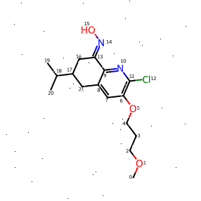 COCCCOc1cc2c(nc1Cl)C(=NO)CC(C(C)C)C2